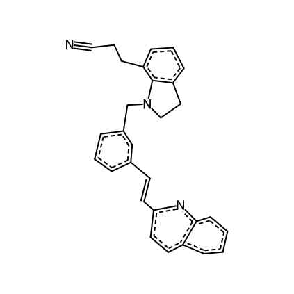 N#CCCc1cccc2c1N(Cc1cccc(C=Cc3ccc4ccccc4n3)c1)CC2